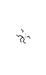 CCCC(CCC)(CCN)[Si](C)(OCC)OCC